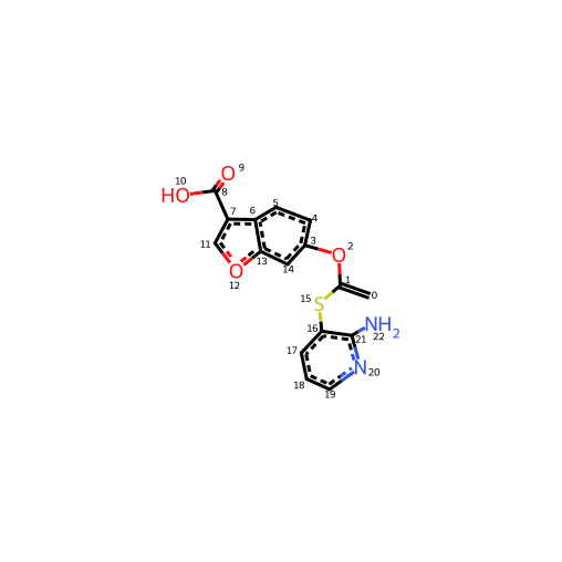 C=C(Oc1ccc2c(C(=O)O)coc2c1)Sc1cccnc1N